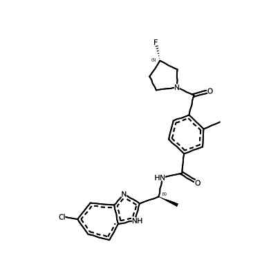 Cc1cc(C(=O)N[C@@H](C)c2nc3cc(Cl)ccc3[nH]2)ccc1C(=O)N1CC[C@H](F)C1